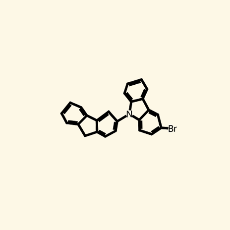 Brc1ccc2c(c1)c1ccccc1n2-c1ccc2c(c1)-c1ccccc1C2